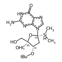 C[SiH](C)[C@]1(n2cnc3c(=O)[nH]c(N)nc32)C[C@H](OC(C)(C)C)[C@@](C=O)(CO)O1